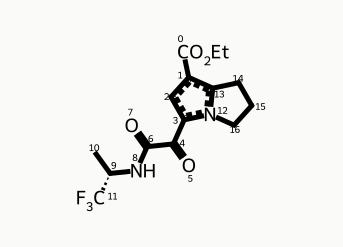 CCOC(=O)c1cc(C(=O)C(=O)N[C@@H](C)C(F)(F)F)n2c1CCC2